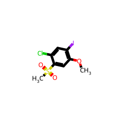 COc1cc(S(C)(=O)=O)c(Cl)cc1I